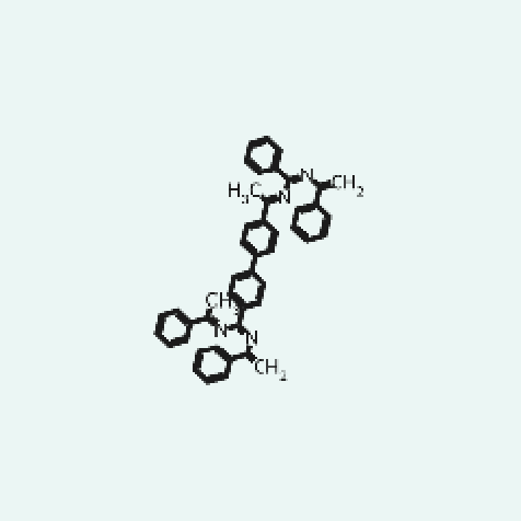 C=C(/N=C(\N=C(/C)c1ccccc1)c1ccc(-c2ccc(/C(C)=N/C(=N\C(=C)c3ccccc3)c3ccccc3)cc2)cc1)c1ccccc1